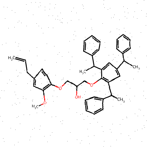 C=CCc1ccc(OCC(O)COc2c(C(C)c3ccccc3)cc(C(C)c3ccccc3)cc2C(C)c2ccccc2)c(OC)c1